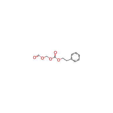 O=[C]OCOC(=O)OCCc1ccccc1